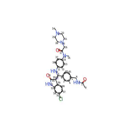 CC(=O)NCc1ccc(/C(Nc2ccc(N(C)C(=O)CN3CCN(C)CC3)cc2)=C2/C(=O)Nc3cc(Cl)ccc32)cc1